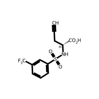 C#CC[C@@H](NS(=O)(=O)c1cccc(C(F)(F)F)c1)C(=O)O